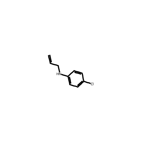 C=CCNc1ccc(Cl)cc1